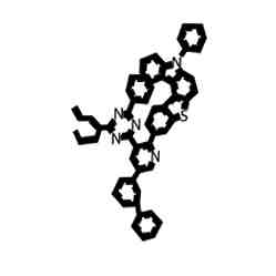 C=C/C=C(\C=C/C)c1nc(-c2ccccc2)nc(-c2cc(-c3cccc(-c4ccccc4)c3)cnc2-c2ccc3c(c2)sc2ccc4c(c5ccccc5n4-c4ccccc4)c23)n1